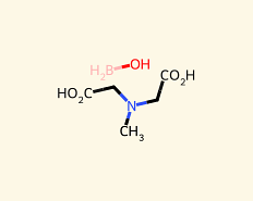 BO.CN(CC(=O)O)CC(=O)O